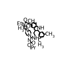 CCN(CC)C(=O)C(C)(C)c1ccc2c(c1)C(CCN/C(=N\C(=O)OC(C)C)N1CCN(C)CC1)C(c1cc(C)cc(C)c1)N2